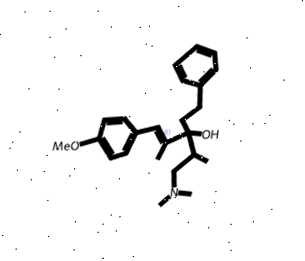 COc1ccc(/C=C(\C)C(O)(CCc2ccccc2)C(C)CN(C)C)cc1